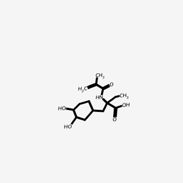 C=C(C)C(=O)NC(CC)(CC1CCC(O)C(O)C1)C(=O)O